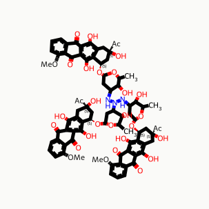 COc1cccc2c1C(=O)c1c(O)c3c(c(O)c1C2=O)C[C@@](O)(C(C)=O)C[C@@H]3OC1CC(NN(NC2CC(O[C@H]3C[C@](O)(C(C)=O)Cc4c(O)c5c(c(O)c43)C(=O)c3c(OC)cccc3C5=O)OC(C)C2O)C2CC(O[C@H]3C[C@](O)(C(C)=O)Cc4c(O)c5c(c(O)c43)C(=O)c3c(OC)cccc3C5=O)OC(C)C2O)C(O)C(C)O1